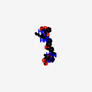 CCCC[C@H]1C[C@@H](c2nc3ccc4cc5c(cc4c3[nH]2)OCc2cc(-c3cnc([C@@H]4CC[C@H](C)N4C(=O)[C@@H](NC(=O)OC)[C@@H](C)CC)[nH]3)ccc2-5)N(C(=O)[C@H](NC(=O)OC)c2ccccc2)C1